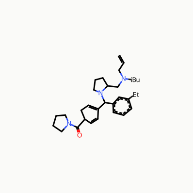 C=CCN(CC1CCCN1C(C1=CCC(C(=O)N2CCCC2)C=C1)c1cccc(CC)c1)C(C)CC